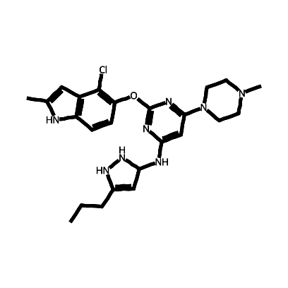 CCCC1=CC(Nc2cc(N3CCN(C)CC3)nc(Oc3ccc4[nH]c(C)cc4c3Cl)n2)NN1